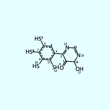 O=C1C(c2cc(S)c(S)c(S)c2S)=N[C]=NC1O